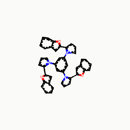 c1ccc2oc(-c3cccn3-c3cc(-n4cccc4-c4cc5ccccc5o4)cc(-n4cccc4-c4cc5ccccc5o4)c3)cc2c1